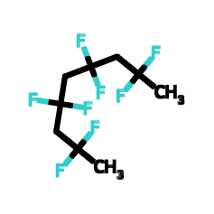 CC(F)(F)CC(F)(F)CC(F)(F)CC(C)(F)F